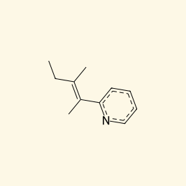 CC/C(C)=C(\C)c1ccccn1